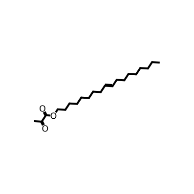 CCCCCCCC/C=C/CCCCCCCCOC(=O)C(C)=O